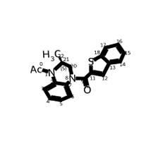 CC(=O)N1c2ccccc2N(C(=O)c2cc3ccccc3s2)C[C@@H]1C